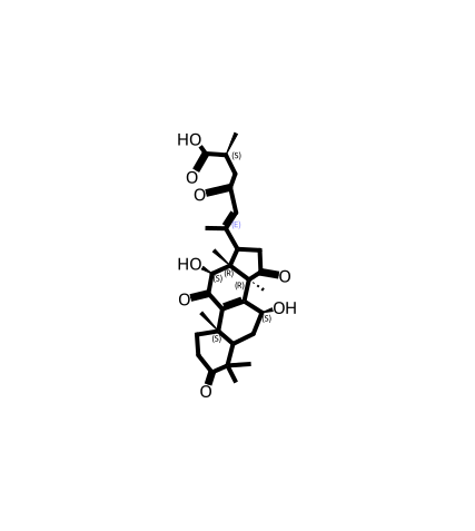 C/C(=C\C(=O)C[C@H](C)C(=O)O)C1CC(=O)[C@@]2(C)C3=C(C(=O)[C@@H](O)[C@]12C)[C@@]1(C)CCC(=O)C(C)(C)C1C[C@@H]3O